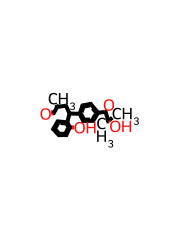 CC(C=O)CC(c1ccc(C(=O)C(C)(C)O)cc1)c1ccccc1O